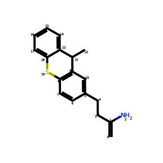 C=C(N)CCc1ccc2c(c1)C(C)c1ccccc1S2